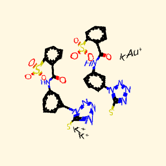 O=C(Nc1cccc(-n2nnnc2[S-])c1)c1ccccc1S(=O)(=O)[O-].O=C(Nc1cccc(-n2nnnc2[S-])c1)c1ccccc1S(=O)(=O)[O-].[Au+].[K+].[K+].[K+]